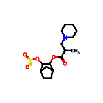 CC(CN1CCCCC1)C(=O)OC1C2CCC(C2)C1O[SH](=O)=O